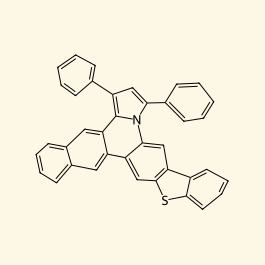 c1ccc(-c2cc(-c3ccccc3)n3c4cc5c(cc4c4cc6ccccc6cc4c23)sc2ccccc25)cc1